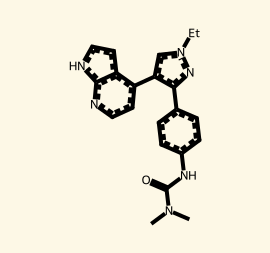 CCn1cc(-c2ccnc3[nH]ccc23)c(-c2ccc(NC(=O)N(C)C)cc2)n1